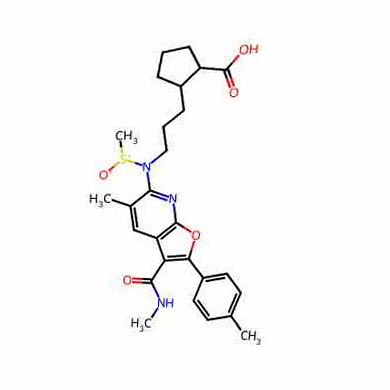 CNC(=O)c1c(-c2ccc(C)cc2)oc2nc(N(CCCC3CCCC3C(=O)O)[S+](C)[O-])c(C)cc12